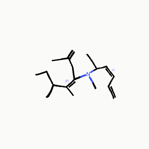 C=C/C=C\C(C)N(C)/C(C(=C)C)=C(\C)C(C)CC